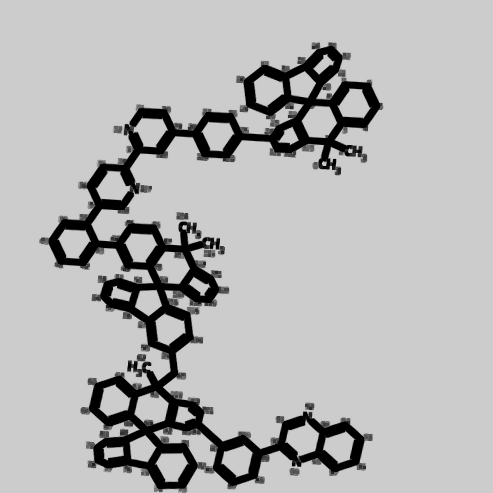 CC1(C)c2ccccc2C2(c3ccccc3-c3ccccc32)c2cc(-c3ccc(-c4ccnc(-c5ccc(-c6ccccc6-c6ccc7c(c6)C6(c8ccccc8-c8cc(CC9(C)c%10ccccc%10C%10(c%11ccccc%11-c%11ccccc%11%10)c%10cc(-c%11cccc(-c%12cnc%13ccccc%13n%12)c%11)ccc%109)ccc86)c6ccccc6C7(C)C)cn5)c4)cc3)ccc21